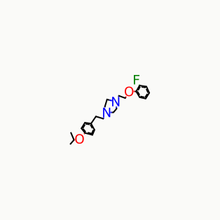 CC(C)Oc1ccc(CCN2CCN(CCOc3ccccc3F)CC2)cc1